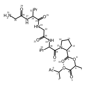 CC(=O)C(C)OC(=O)C(C)OC(=O)C1CCCN1C(=O)C(NC(=O)CNC(=O)C(NC(=O)CN)C(C)C)C(C)C